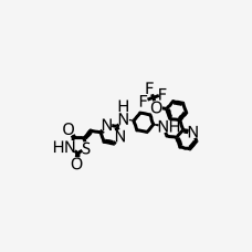 O=C1NC(=O)/C(=C/c2ccnc(N[C@H]3CC[C@H](NCc4cccnc4-c4cccc(OC(F)(F)F)c4)CC3)n2)S1